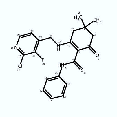 CC1(C)CC(=O)C(C(=S)Nc2ccccc2)=C(NCc2ccnc(Cl)c2F)C1